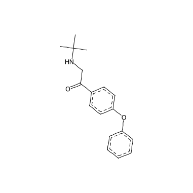 CC(C)(C)NCC(=O)c1ccc(Oc2ccccc2)cc1